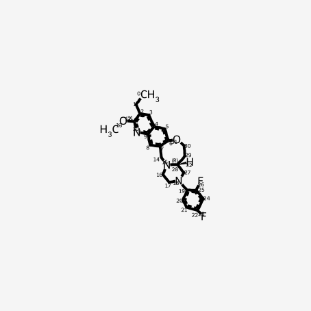 CCc1cc2cc3c(cc2nc1OC)CN1CCN(c2ccc(F)cc2F)C[C@H]1CCO3